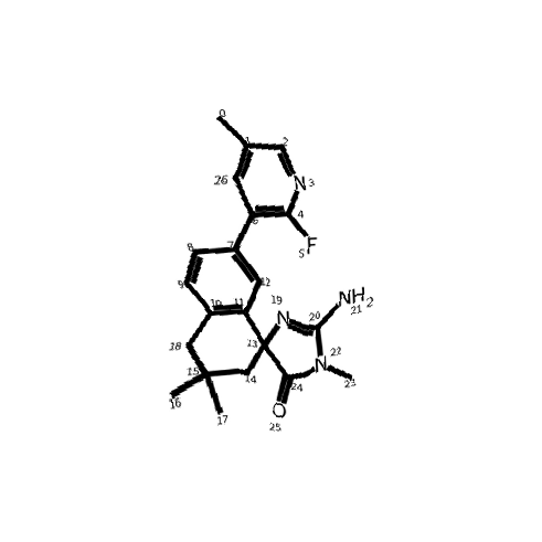 Cc1cnc(F)c(-c2ccc3c(c2)C2(CC(C)(C)C3)N=C(N)N(C)C2=O)c1